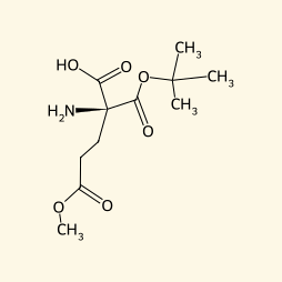 COC(=O)CC[C@](N)(C(=O)O)C(=O)OC(C)(C)C